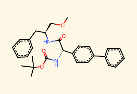 COC[C@H](Cc1ccccc1)NC(=O)[C@@H](NC(=O)OC(C)(C)C)c1ccc(-c2ccccc2)cc1